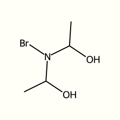 CC(O)N(Br)C(C)O